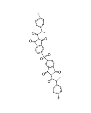 CC(C(=O)C1C(=O)c2ccc(S(=O)(=O)c3ccc4c(c3)C(=O)C(C(=O)C(C)c3ccc(F)cc3)C4=O)cc2C1=O)c1ccc(F)cc1